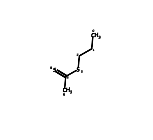 CCCSC(C)=S